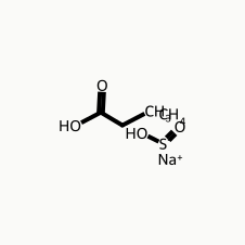 C.CCC(=O)O.O=[S-]O.[Na+]